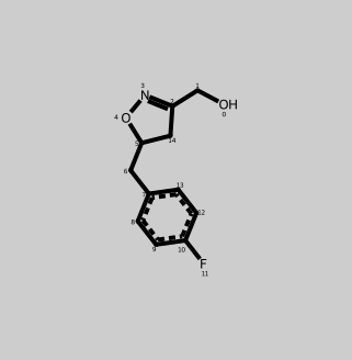 OCC1=NOC(Cc2ccc(F)cc2)C1